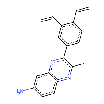 C=Cc1ccc(-c2nc3cc(N)ccc3nc2C)cc1C=C